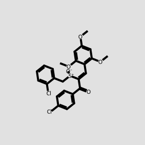 COc1cc(OC)c(/C=C(/C(=O)c2ccc(Cl)cc2)[S+]([O-])Cc2ccccc2Cl)c(OC)c1